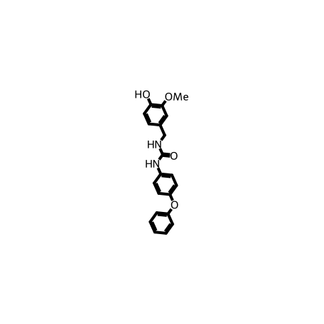 COc1cc(CNC(=O)Nc2ccc(Oc3ccccc3)cc2)ccc1O